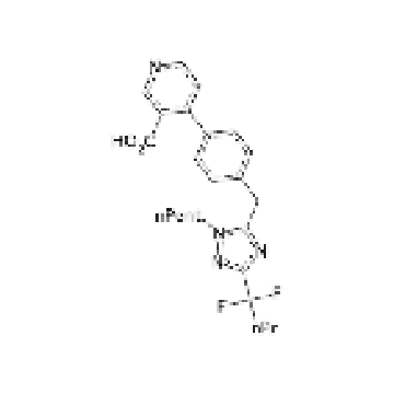 CCCCCn1nc(C(F)(F)CCC)nc1Cc1ccc(-c2ccncc2C(=O)O)cc1